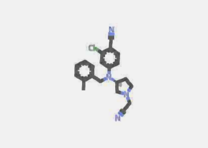 Cc1ccccc1CN(c1ccc(C#N)c(Cl)c1)[C@H]1CCN(CC#N)C1